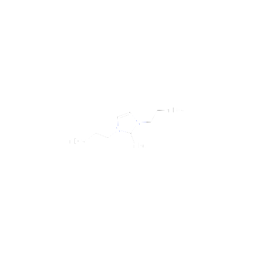 CCCCCCCCCCCCN1C=CN(CCCCCCCCCCCC)C1CCCC